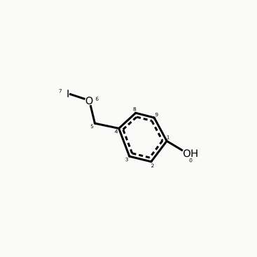 Oc1ccc(COI)cc1